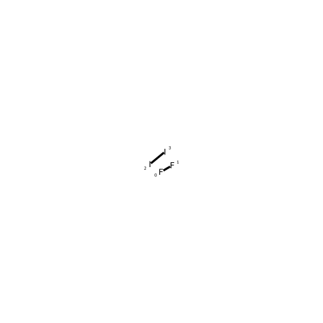 FF.II